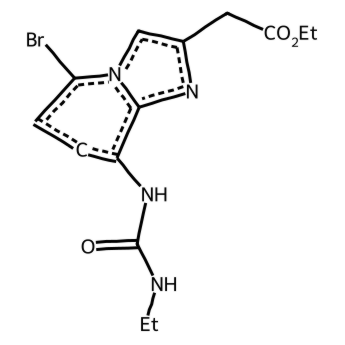 CCNC(=O)Nc1ccc(Br)n2cc(CC(=O)OCC)nc12